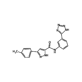 Cc1ccc(-c2cc(C(=O)Nc3cccc(-c4nnn[nH]4)c3)[nH]n2)cc1